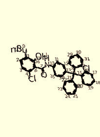 CCCCc1ccc(Cl)c(C(=O)Nc2ccc(C(c3ccccc3)(c3ccccc3)c3ccccc3Cl)cc2)c1O